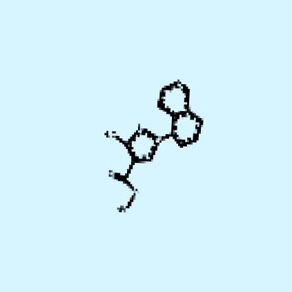 CCCCOC(=O)c1cn(-c2cccc3cnccc23)nc1C